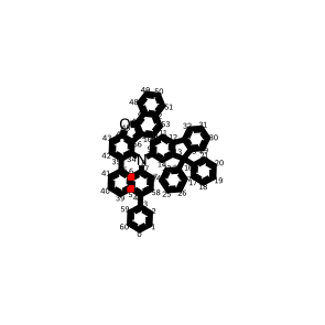 c1ccc(-c2ccc(N(c3ccc4c(c3)C(c3ccccc3)(c3ccccc3)c3ccccc3-4)c3c(-c4ccccc4)ccc4oc5c6ccccc6ccc5c34)cc2)cc1